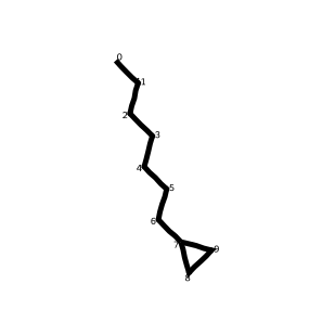 C[CH]CCCCCC1CC1